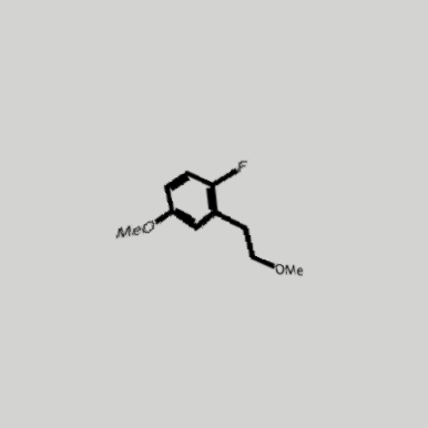 COCCc1cc(OC)ccc1F